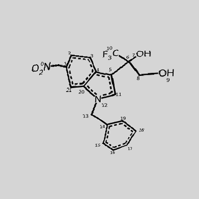 O=[N+]([O-])c1ccc2c(C(O)(CO)C(F)(F)F)cn(Cc3ccccc3)c2c1